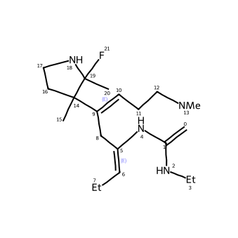 C=C(NCC)N/C(=C/CC)C/C(=C\CCNC)C1(C)CCNC1(C)F